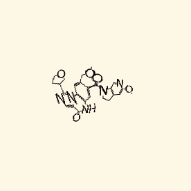 COCc1cc2c(cc1C(=O)N1CCc3cc(OC)ncc31)[nH]c(=O)c1cnc(C3CCOC3)n12